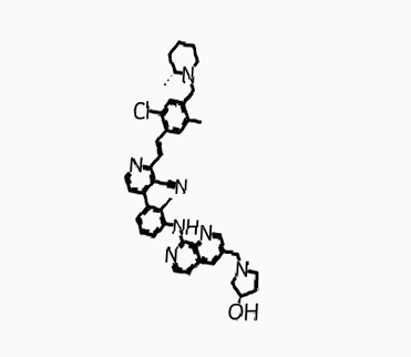 Cc1cc(/C=C/c2nccc(-c3cccc(Nc4nccc5cc(CN6CC[C@@H](O)C6)cnc45)c3C)c2C#N)c(Cl)cc1CN1CCCC[C@H]1C